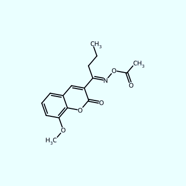 CCC/C(=N\OC(C)=O)c1cc2cccc(OC)c2oc1=O